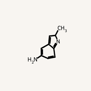 CC1C=c2cc(N)ccc2=N1